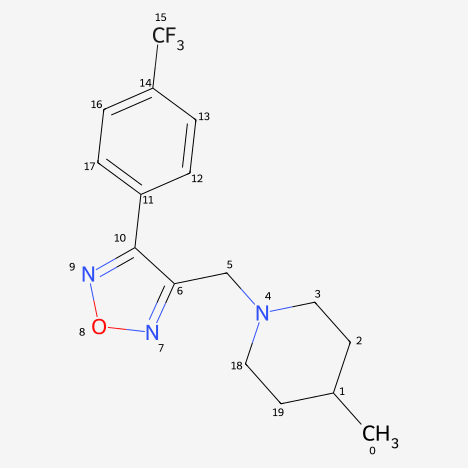 CC1CCN(Cc2nonc2-c2ccc(C(F)(F)F)cc2)CC1